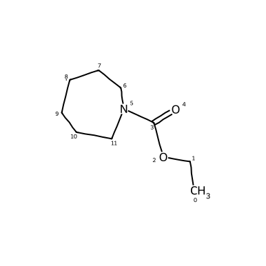 CCOC(=O)N1CC[CH]CCC1